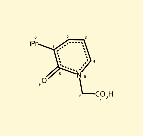 CC(C)c1cccn(CC(=O)O)c1=O